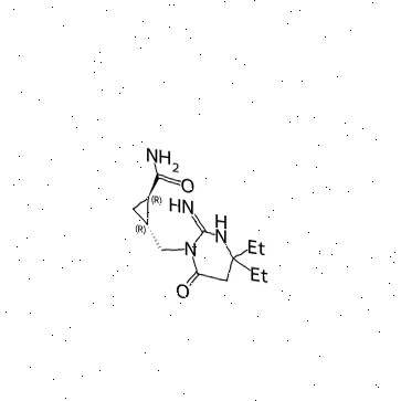 CCC1(CC)CC(=O)N(C[C@@H]2C[C@H]2C(N)=O)C(=N)N1